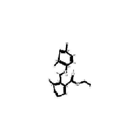 CCOC(=O)c1cccc(C)c1COc1ccc(C)cc1C